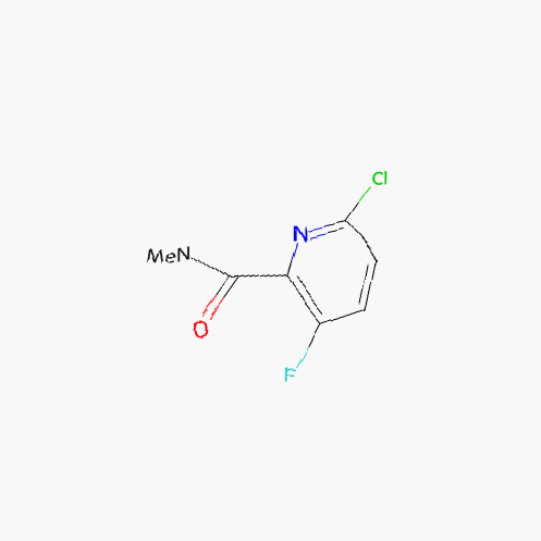 CNC(=O)c1nc(Cl)ccc1F